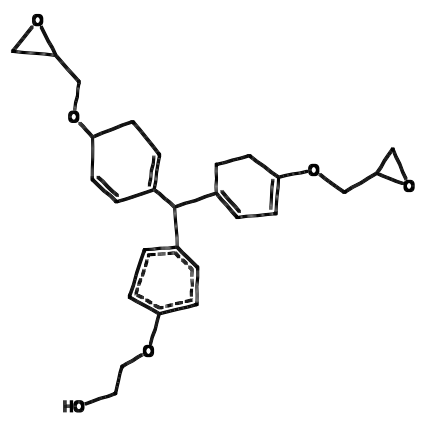 OCCOc1ccc(C(C2=CCC(OCC3CO3)C=C2)C2=CC=C(OCC3CO3)CC2)cc1